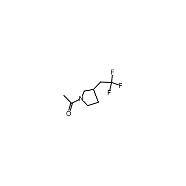 CC(=O)N1CCC(CC(F)(F)F)C1